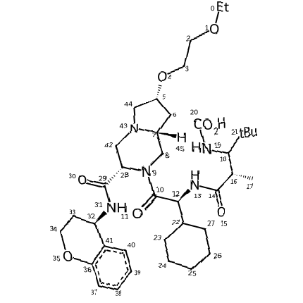 CCOCCO[C@@H]1C[C@@H]2CN(C(=O)[C@@H](NC(=O)[C@@H](C)C(NC(=O)O)C(C)(C)C)C3CCCCC3)[C@H](C(=O)N[C@@H]3CCOc4ccccc43)CN2C1